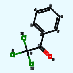 O=C(c1ccccc1)C(Cl)(Cl)Cl